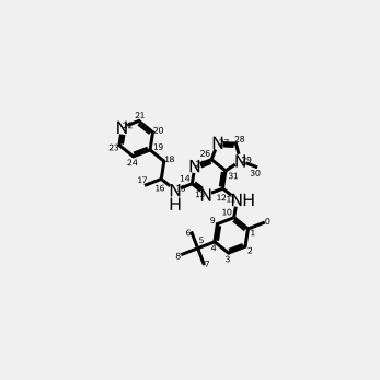 Cc1ccc(C(C)(C)C)cc1Nc1nc(NC(C)Cc2ccncc2)nc2ncn(C)c12